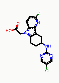 O=C(O)Cn1c2c(c3nc(F)ccc31)CC(Nc1ncc(Cl)cn1)CC2